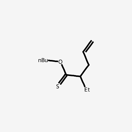 C=CCC(CC)C(=S)OCCCC